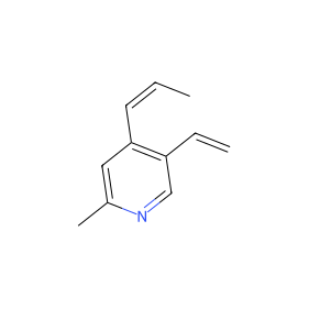 C=Cc1cnc(C)cc1/C=C\C